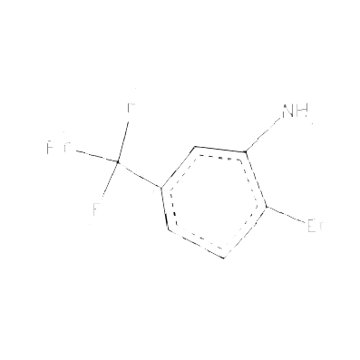 CCc1ccc(C(F)(F)C(F)(F)F)cc1N